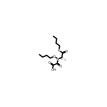 CCCCOC(=O)[C@H](C)N(OCCCC)C(=O)C(=O)O